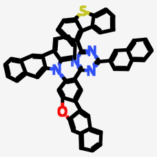 c1ccc2cc(-c3nc(-c4cc5c(cc4-n4c6ccccc6c6cc7ccccc7cc64)oc4cc6ccccc6cc45)nc(-c4cccc5sc6ccccc6c45)n3)ccc2c1